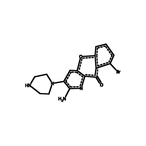 Nc1nc2c(=O)c3c(Br)cccc3oc2cc1N1CCNCC1